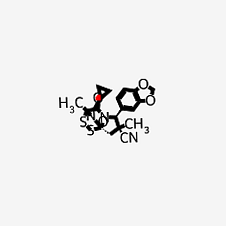 CC12SS[C@@]3(C[C@](C)(C#N)[C@H](c4ccc5c(c4)OCO5)N3C1=O)C(=O)N2C1CC1